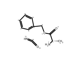 C[C@H](N)C(=O)OCc1ccccc1.N=C=O